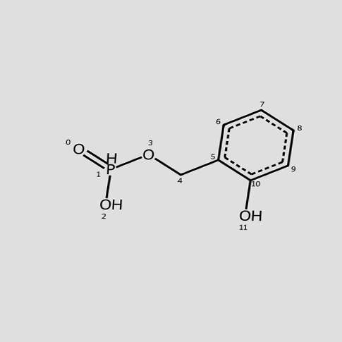 O=[PH](O)OCc1ccccc1O